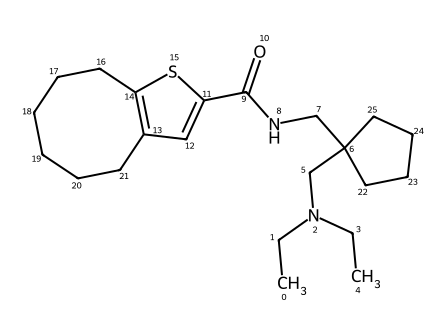 CCN(CC)CC1(CNC(=O)c2cc3c(s2)CCCCCC3)CCCC1